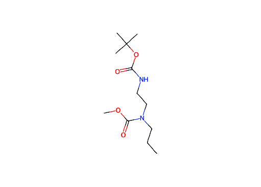 CCCN(CCNC(=O)OC(C)(C)C)C(=O)OC